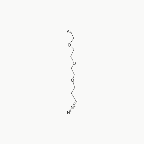 CC(=O)COCCOCCOCCN=[N+]=[N-]